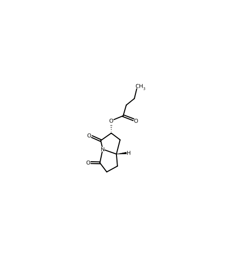 CCCC(=O)O[C@@H]1C[C@@H]2CCC(=O)N2C1=O